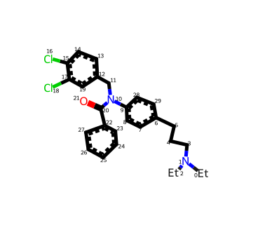 CCN(CC)CCCc1ccc(N(Cc2ccc(Cl)c(Cl)c2)C(=O)c2ccccc2)cc1